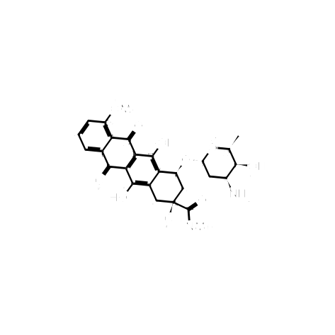 CNC(=O)[C@]1(O)Cc2c(O)c3c(c(O)c2[C@@H](O[C@H]2C[C@H](N)[C@H](O)[C@H](C)O2)C1)C(=O)c1c(OC)cccc1C3=O